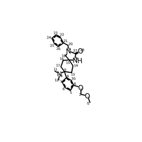 COCOc1cccc(C2(N(C)C)CCC3(CC2)CN(Cc2ccccc2)C(=O)N3)c1